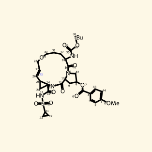 COc1ccc(C(=O)OC2CC3C(=O)NC4(C(=O)NS(=O)(=O)C5CC5)CC4/C=C/COCCCC(NC(=O)OC(C)(C)C)C(=O)N3C2)cc1